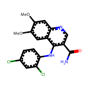 COc1cc2ncc(C(N)=O)c(Nc3ccc(Cl)cc3Cl)c2cc1OC